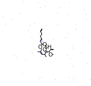 C=CCC/C=C/C(=O)OC/C(C)=C\C(C)[C@H](OS)C(C=C)OC